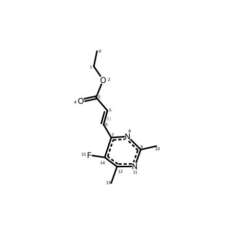 CCOC(=O)/C=C/c1nc(C)nc(C)c1F